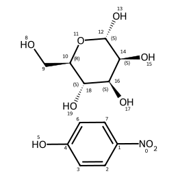 O=[N+]([O-])c1ccc(O)cc1.OC[C@H]1O[C@H](O)[C@@H](O)[C@@H](O)[C@@H]1O